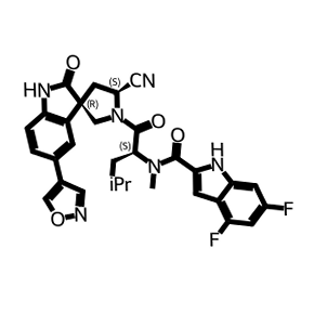 CC(C)C[C@@H](C(=O)N1C[C@]2(C[C@H]1C#N)C(=O)Nc1ccc(-c3cnoc3)cc12)N(C)C(=O)c1cc2c(F)cc(F)cc2[nH]1